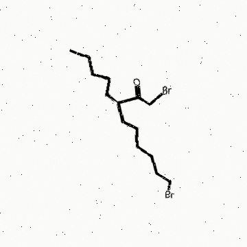 CCCCC[C@H](CCCCCCBr)C(=O)CBr